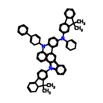 CC1(C)c2ccccc2-c2ccc(N(C3=CCCC=C3)c3ccc(N(c4ccccc4)C4C=CC(c5ccccc5)=CC4)c(-c4ccc5c(c4)c4ccccc4n5-c4ccc5c(c4)C(C)(C)C4CC=CC=C54)c3)cc21